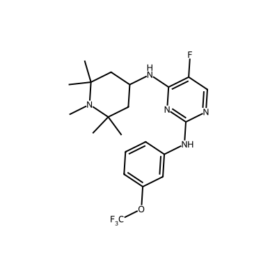 CN1C(C)(C)CC(Nc2nc(Nc3cccc(OC(F)(F)F)c3)ncc2F)CC1(C)C